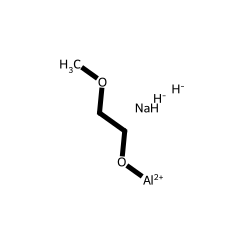 COCC[O][Al+2].[H-].[H-].[NaH]